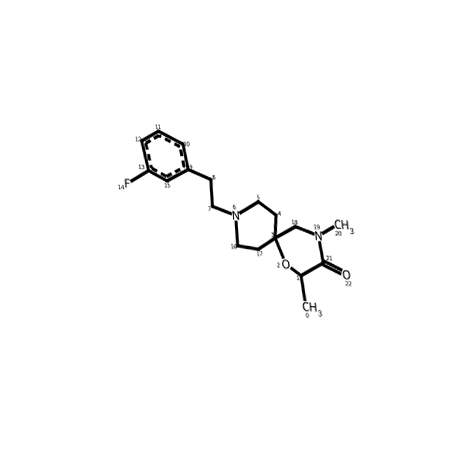 CC1OC2(CCN(CCc3cccc(F)c3)CC2)CN(C)C1=O